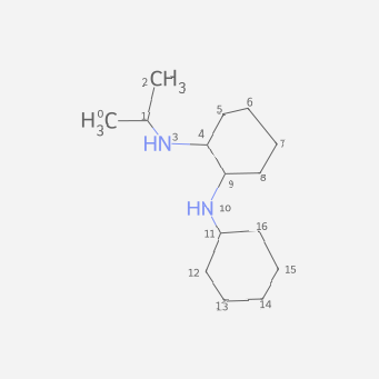 CC(C)NC1CCCCC1NC1CCCCC1